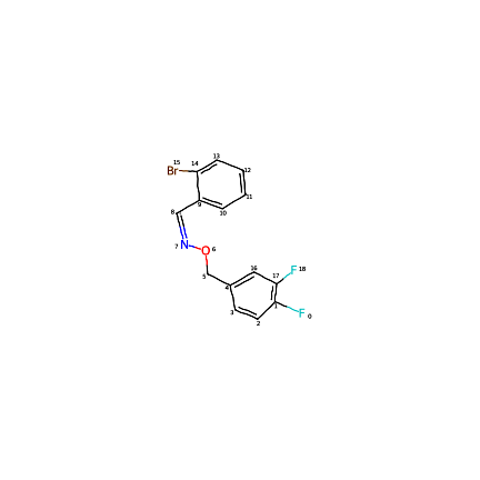 Fc1ccc(CO/N=[C]\c2ccccc2Br)cc1F